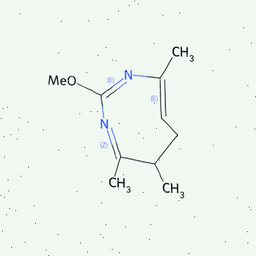 COC1=N/C(C)=C/CC(C)/C(C)=N\1